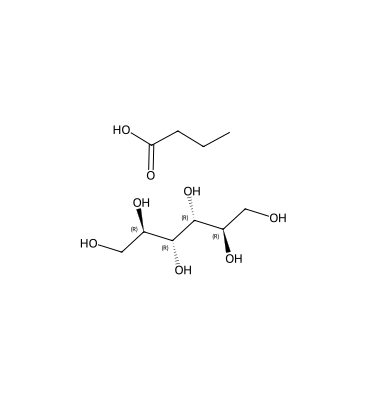 CCCC(=O)O.OC[C@@H](O)[C@@H](O)[C@H](O)[C@H](O)CO